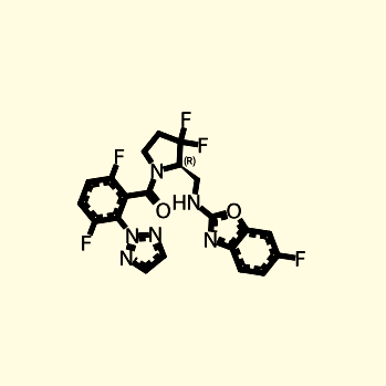 O=C(c1c(F)ccc(F)c1-n1nccn1)N1CCC(F)(F)[C@H]1CNc1nc2ccc(F)cc2o1